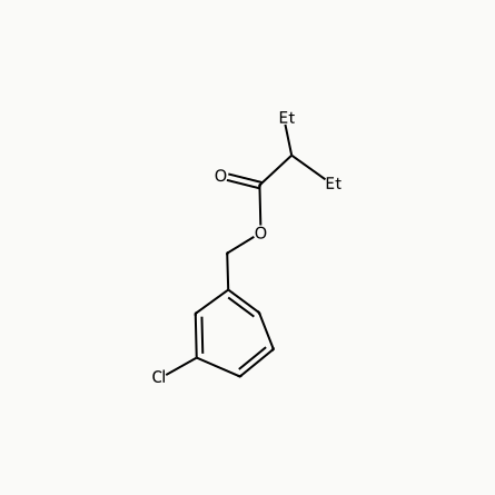 CCC(CC)C(=O)OCc1cccc(Cl)c1